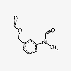 CN(C=O)c1cccc(COC=O)c1